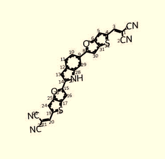 N#CC(C#N)=Cc1cc2oc(-c3ccc4cc(-c5cc6sc(C=C(C#N)C#N)cc6o5)[nH]c4c3)cc2s1